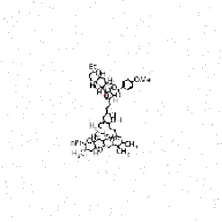 C=C1C(C[C@@H]2O[C@H]3C[C@@H](C)[C@@H](CCC)O[C@H]3[C@H](C)[C@H]2OC(C)=O)O[C@@H](CC[C@H](O)C(=C)C[C@H](Cl)CC[C@@]23OC4[C@H]5O[C@@H](CC)CC[C@@H]5O[C@H]5C(O2)[C@]2(O[C@@H](c6ccc(OC)cc6)O[C@@H]32)O[C@@H]45)C[C@H]1C